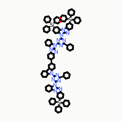 c1ccc(-c2nc(-n3c4ccccc4c4cc(-c5ccc6c(c5)nc5n(-c7nc(-c8ccccc8)nc(-n8c9ccc([Si](c%10ccccc%10)(c%10ccccc%10)c%10ccccc%10)cc9n9c%10cc([Si](c%11ccccc%11)(c%11ccccc%11)c%11ccccc%11)ccc%10nc89)n7)c7ccccc7n65)ccc43)nc(-n3c4ccccc4n4c5cc([Si](c6ccccc6)(c6ccccc6)c6ccccc6)ccc5nc34)n2)cc1